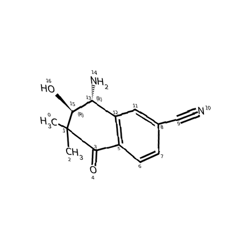 CC1(C)C(=O)c2ccc(C#N)cc2[C@@H](N)[C@@H]1O